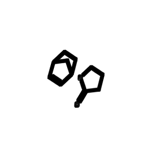 C1=CC2CCC1C2.O=C1CCCO1